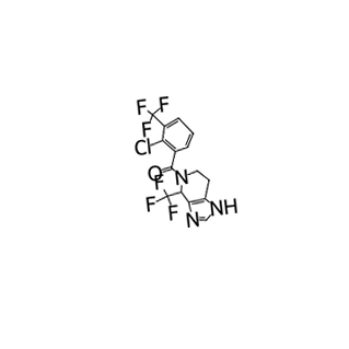 O=C(c1cccc(C(F)(F)F)c1Cl)N1CCc2[nH]cnc2C1C(F)(F)F